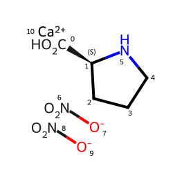 O=C(O)[C@@H]1CCCN1.O=[N+]([O-])[O-].O=[N+]([O-])[O-].[Ca+2]